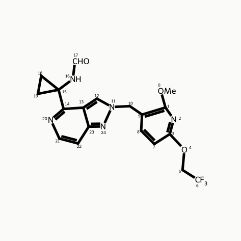 COc1nc(OCC(F)(F)F)ccc1Cn1cc2c(C3(NC=O)CC3)nccc2n1